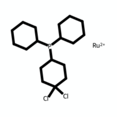 ClC1(Cl)CCC(P(C2CCCCC2)C2CCCCC2)CC1.[Ru+2]